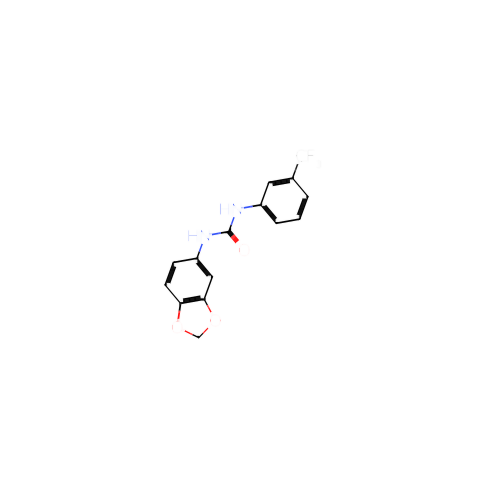 O=C(Nc1cccc(C(F)(F)F)c1)Nc1ccc2c(c1)OCO2